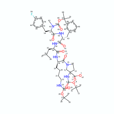 COC(=O)C1(NC(=O)OC(C)(C)C)CCN(C(=O)[C@@H](CCCCNC(=O)OC(C)(C)C)NC(=O)[C@@H](CC(C)C)NC(=O)[C@@H](Cc2ccccc2)NC(=O)[C@@H](Cc2ccc(F)cc2)N(C)C(=O)OC(C)(C)C)C1